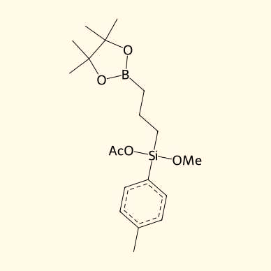 CO[Si](CCCB1OC(C)(C)C(C)(C)O1)(OC(C)=O)c1ccc(C)cc1